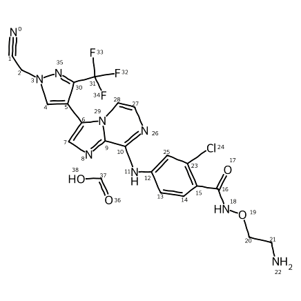 N#CCn1cc(-c2cnc3c(Nc4ccc(C(=O)NOCCN)c(Cl)c4)nccn23)c(C(F)(F)F)n1.O=CO